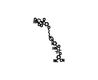 CC1(C)C(NC(=O)c2ccc(N3CCN(CCCCCOc4ccc5c(c4)C(=O)N(C4CCC(=O)NC4=O)C5=O)CC3)nc2)C(C)(C)C1Oc1ccc(C#N)c(C#N)c1